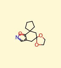 c1noc2c1CC1(CC23CCCC3)OCCO1